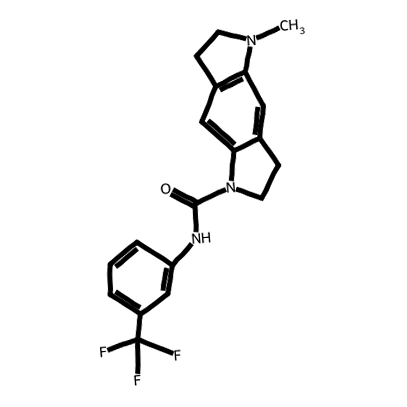 CN1CCc2cc3c(cc21)CCN3C(=O)Nc1cccc(C(F)(F)F)c1